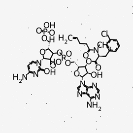 C=CCCC(=O)N(C)[C@@H](Cc1cccc(Cl)c1)C(=O)O[C@H]1[C@@H](O)[C@H](n2cnc3c(N)ncnc32)O[C@@H]1COP(=O)(O)O[C@H]1[C@@H](O)[C@H](n2ccc(N)nc2=O)O[C@@H]1COP(=O)(O)O